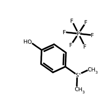 C[S+](C)c1ccc(O)cc1.F[P-](F)(F)(F)(F)F